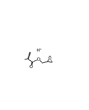 C=C(C)C(=O)OCC1CO1.[H+]